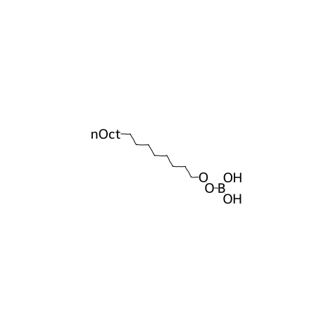 CCCCCCCCCCCCCCCCOOB(O)O